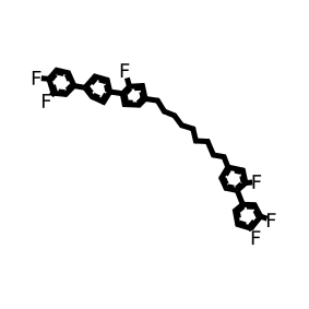 Fc1ccc(-c2ccc(-c3ccc(CCCCCCCCCc4ccc(-c5ccc(F)c(F)c5)c(F)c4)cc3F)cc2)cc1F